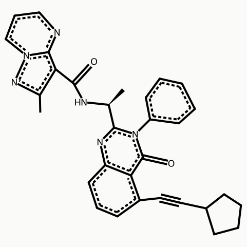 Cc1nn2cccnc2c1C(=O)N[C@@H](C)c1nc2cccc(C#CC3CCCC3)c2c(=O)n1-c1ccccc1